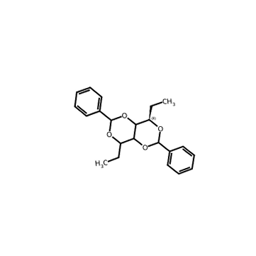 CCC1OC(c2ccccc2)OC2C1OC(c1ccccc1)O[C@@H]2CC